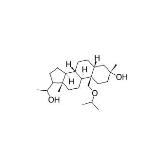 CC(C)OC[C@]12CC[C@@](C)(O)C[C@H]1CC[C@@H]1[C@@H]2CC[C@]2(C)C(C(C)O)CC[C@@H]12